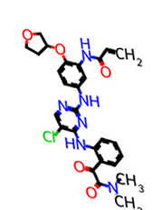 C=CC(=O)Nc1cc(Nc2ncc(Cl)c(Nc3ccccc3C(=O)C(=O)N(C)C)n2)ccc1OC1CCOC1